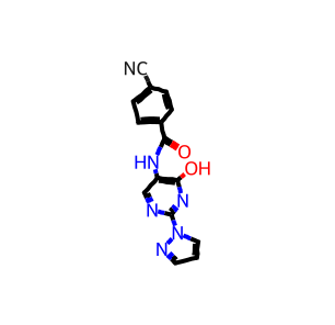 N#Cc1ccc(C(=O)Nc2cnc(-n3cccn3)nc2O)cc1